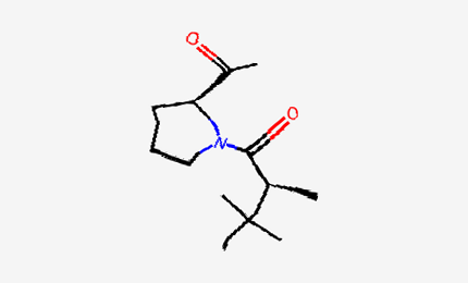 CC(=O)[C@@H]1CCCN1C(=O)[C@@H](C)C(C)(C)C